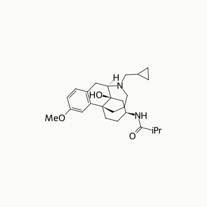 COc1ccc2c(c1)[C@]13CCCN(CC4CC4)[C@H](C2)[C@]1(O)C[C@@H](NC(=O)C(C)C)CC3